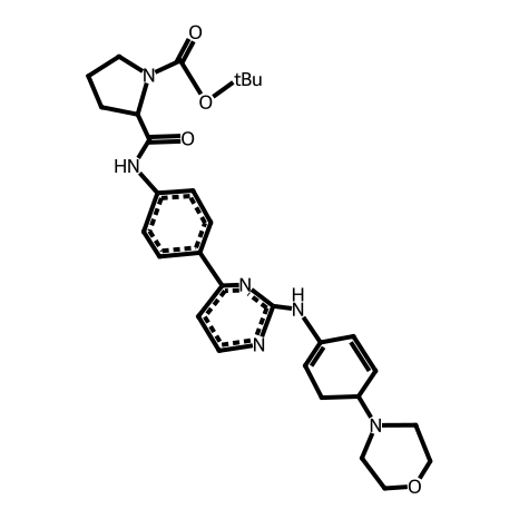 CC(C)(C)OC(=O)N1CCCC1C(=O)Nc1ccc(-c2ccnc(NC3=CCC(N4CCOCC4)C=C3)n2)cc1